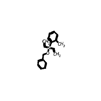 C=C[Si](C=C)(OCc1ccccc1)c1ccccc1C